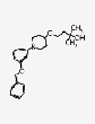 CC(C)(O)CCOC1CCN(c2cccc(OCc3ccccc3)c2)CC1